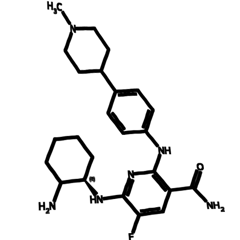 CN1CCC(c2ccc(Nc3nc(N[C@@H]4CCCCC4N)c(F)cc3C(N)=O)cc2)CC1